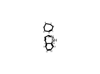 C1=CCCCCC1.C1=Cc2ccccc2NN=C1